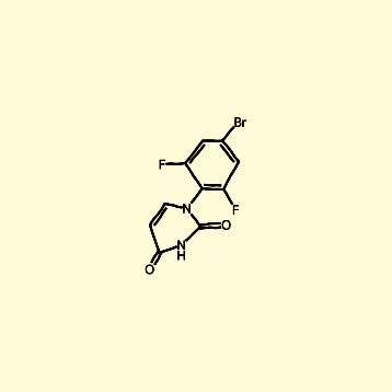 O=c1ccn(-c2c(F)cc(Br)cc2F)c(=O)[nH]1